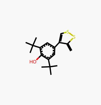 C=C1SSC=C1c1cc(C(C)(C)C)c(O)c(C(C)(C)C)c1